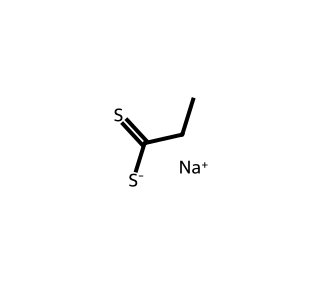 CCC(=S)[S-].[Na+]